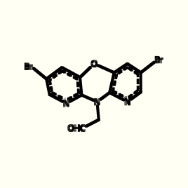 O=CCN1c2ncc(Br)cc2Oc2cc(Br)cnc21